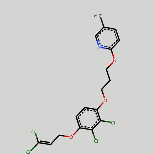 FC(F)(F)c1ccc(OCCCOc2ccc(OCC=C(Cl)Cl)c(Cl)c2Cl)nc1